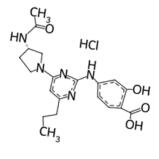 CCCc1cc(N2CC[C@H](NC(C)=O)C2)nc(Nc2ccc(C(=O)O)c(O)c2)n1.Cl